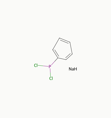 ClP(Cl)c1ccccc1.[NaH]